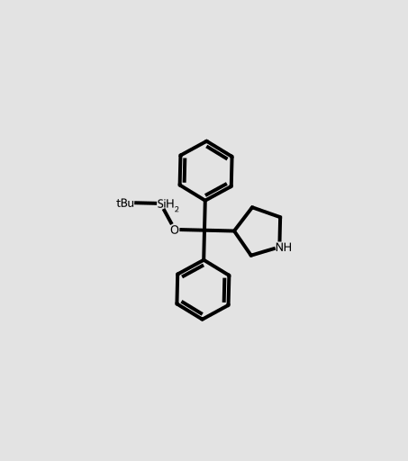 CC(C)(C)[SiH2]OC(c1ccccc1)(c1ccccc1)C1CCNC1